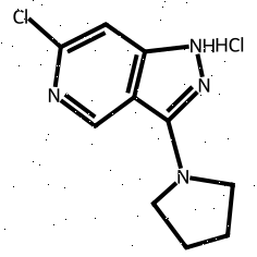 Cl.Clc1cc2[nH]nc(N3CCCC3)c2cn1